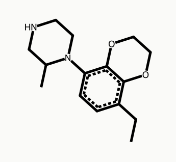 CCc1ccc(N2CCNCC2C)c2c1OCCO2